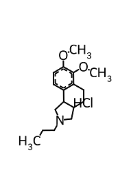 CCCN1CC2CCc3c(ccc(OC)c3OC)C2C1.Cl